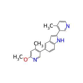 COc1cc(C)c(-c2ccc3[nH]c(-c4cnccc4C)cc3c2)cn1